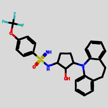 N=S(=O)(NC1CCC(N2c3ccccc3CCc3ccccc32)C1O)c1ccc(OC(F)(F)F)cc1